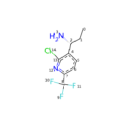 CC[C@@H](N)c1ccc(C(F)(F)F)nc1Cl